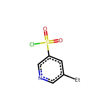 CCc1cncc(S(=O)(=O)Cl)c1